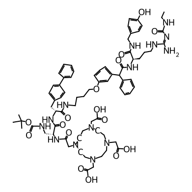 CCNC(=O)/N=C(/N)NCCC[C@@H](NC(=O)C(c1ccccc1)c1cccc(OCCCCNC(=O)[C@@H](Cc2ccc(-c3ccccc3)cc2)NC(=O)[C@@H](CNC(=O)OC(C)(C)C)NC(=O)CN2CCN(CC(=O)O)CCN(CC(=O)O)CCN(CC(=O)O)CC2)c1)C(=O)NCc1ccc(O)cc1